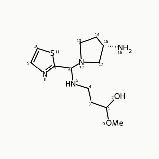 COC(O)CCNC(c1nccs1)N1CC[C@H](N)C1